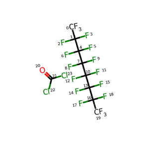 FC(F)(F)C(F)(F)C(F)(F)C(F)(F)C(F)(F)C(F)(F)C(F)(F)C(F)(F)F.O=C(Cl)Cl